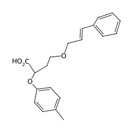 Cc1ccc(OC(CCOCC=Cc2ccccc2)C(=O)O)cc1